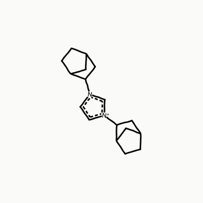 c1c[n+](C2CC3CCC2C3)cn1C1CC2CCC1C2